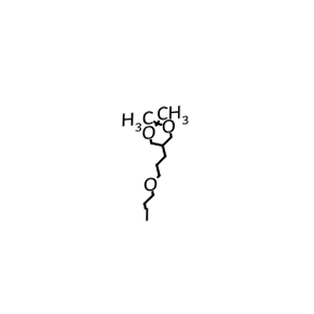 CC1(C)OCC(CCCOCCI)CO1